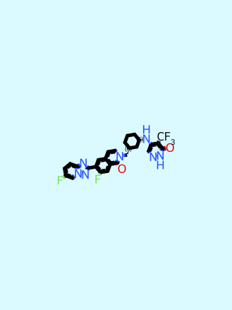 O=c1[nH]ncc(N[C@H]2CCC[C@@H](Cn3ccc4cc(-c5nc6ccc(F)cn6n5)c(F)cc4c3=O)C2)c1C(F)(F)F